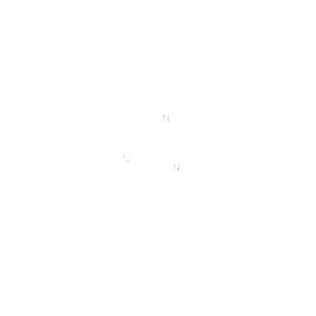 C1=CC(c2ccccc2)CC=C1N1c2cc(-c3ccccc3)ccc2B2c3ccc(-c4ccccc4)cc3N(c3ccc(-c4ccccc4)cc3)c3cc(-n4c5ccccc5c5ccccc54)cc1c32